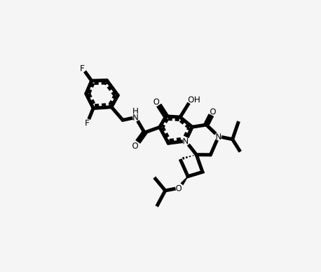 CC(C)O[C@H]1C[C@]2(CN(C(C)C)C(=O)c3c(O)c(=O)c(C(=O)NCc4ccc(F)cc4F)cn32)C1